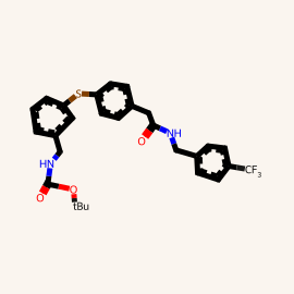 CC(C)(C)OC(=O)NCc1cccc(Sc2ccc(CC(=O)NCc3ccc(C(F)(F)F)cc3)cc2)c1